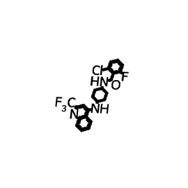 O=C(NC1CCC(Nc2cc(C(F)(F)F)nc3ccccc23)CC1)c1c(F)cccc1Cl